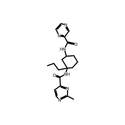 CCCC1(NC(=O)c2ccnc(C)n2)CCCC(NC(=O)c2cnccn2)C1